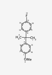 COc1ccc(C(C)(C)c2ccc(F)cc2)cc1